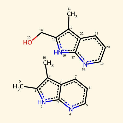 Cc1[nH]c2ncccc2c1C.Cc1c(CO)[nH]c2ncccc12